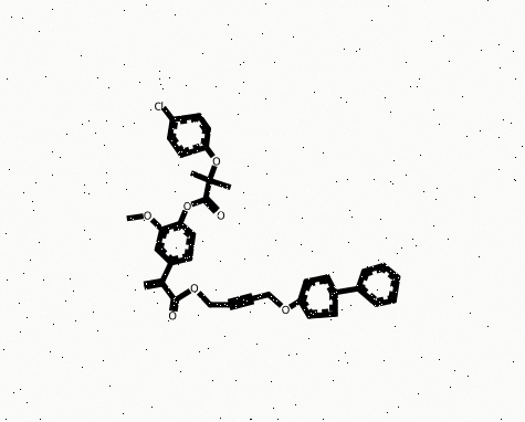 C=C(C(=O)OCC#CCOc1ccc(-c2ccccc2)cc1)c1ccc(OC(=O)C(C)(C)Oc2ccc(Cl)cc2)c(OC)c1